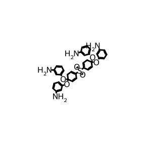 Nc1cccc(OC2(Oc3cccc(N)c3)C=CC(S(=O)(=O)C3=CCC(Oc4cccc(N)c4)(Oc4cccc(N)c4)C=C3)=CC2)c1